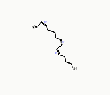 CCCC/C=C\CCC/C=C\C=C/CCCO